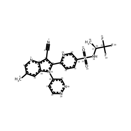 Cc1cnc2c(C#N)c(-c3ccc(S(=O)(=O)N[C@@H](C)C(F)(F)F)cn3)n(-c3ccnnc3)c2c1